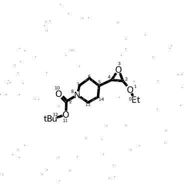 CCOC1OC1C1CCN(C(=O)OC(C)(C)C)CC1